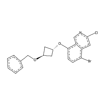 Clc1cc2c(Br)ccc(O[C@H]3C[C@H](OCc4ccccc4)C3)c2cn1